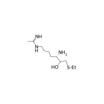 CCSCC(O)[C@@H](N)CCCCNC(C)=N